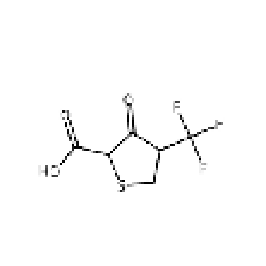 O=C(O)C1SCC(C(F)(F)F)C1=O